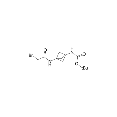 CC(C)(C)OC(=O)NC12CC(NC(=O)CBr)(C1)C2